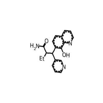 CCC(C(N)=O)C(c1cccnc1)c1ccc2cccnc2c1O